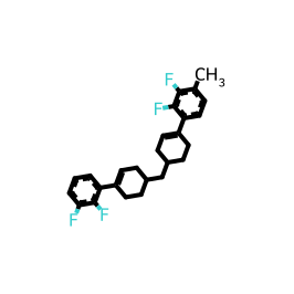 Cc1ccc(C2=CCC(CC3CC=C(c4cccc(F)c4F)CC3)CC2)c(F)c1F